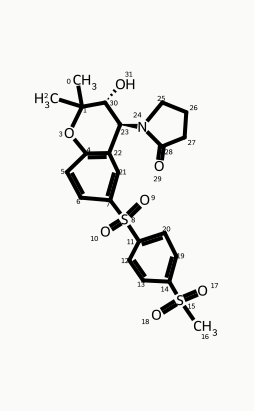 CC1(C)Oc2ccc(S(=O)(=O)c3ccc(S(C)(=O)=O)cc3)cc2[C@H](N2CCCC2=O)[C@H]1O